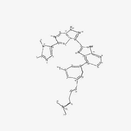 Cc1ncc(-c2cc3c(-c4nc5c(-c6cc(F)cc(OCCN(C)C)c6)ccnc5[nH]4)n[nH]c3cn2)n1C